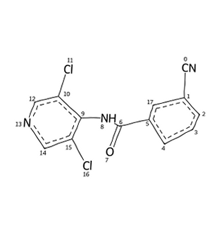 N#Cc1cccc(C(=O)Nc2c(Cl)cncc2Cl)c1